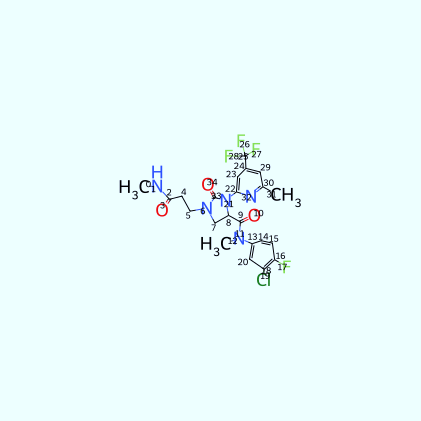 CNC(=O)CCN1CC(C(=O)N(C)c2ccc(F)c(Cl)c2)N(c2cc(C(F)(F)F)cc(C)n2)C1=O